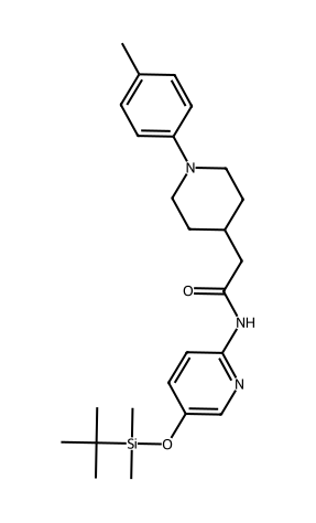 Cc1ccc(N2CCC(CC(=O)Nc3ccc(O[Si](C)(C)C(C)(C)C)cn3)CC2)cc1